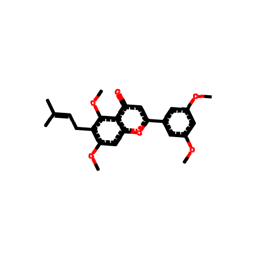 COc1cc(OC)cc(-c2cc(=O)c3c(OC)c(CC=C(C)C)c(OC)cc3o2)c1